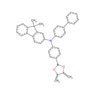 C=C1OB(c2ccc(N(c3ccc(-c4ccccc4)cc3)c3ccc4c(c3)C(C)(C)c3ccccc3-4)cc2)OC1=C